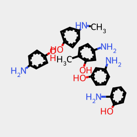 CNc1ccc(O)cc1.Cc1ccc(N)cc1O.Nc1ccc(O)cc1.Nc1cccc(O)c1.Nc1ccccc1O